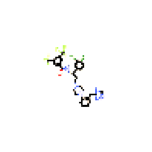 CN(C[C@@H](CCN1CCN(c2ccccc2Cc2nc[nH]n2)CC1)c1ccc(Cl)c(Cl)c1)C(=O)c1cc(C(F)(F)F)cc(C(F)(F)F)c1